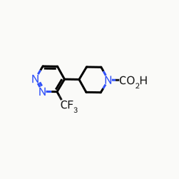 O=C(O)N1CCC(c2ccnnc2C(F)(F)F)CC1